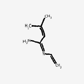 C=C/N=C(/N)C=C(C)C